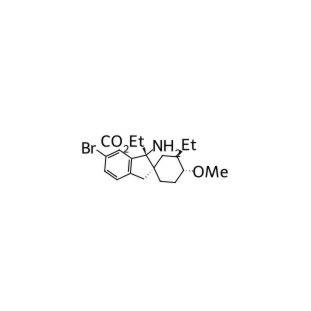 CCOC(=O)[C@]1(N)c2cc(Br)ccc2C[C@]12CC[C@@H](OC)[C@H](CC)C2